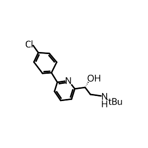 CC(C)(C)NC[C@@H](O)c1cccc(-c2ccc(Cl)cc2)n1